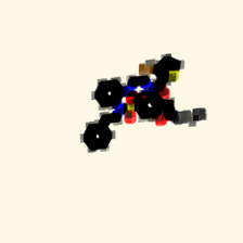 CCOC(=O)c1cc2ccc(S(=O)(=O)N(CCc3ccccc3)c3ccccc3N3CCN(C(=O)c4sccc4Br)CC3)cc2o1